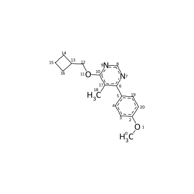 COc1ccc(-c2ncnc(OCC3CCC3)c2C)cc1